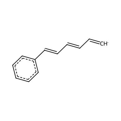 [CH]=CC=CC=[C]c1ccccc1